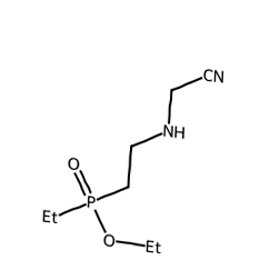 CCOP(=O)(CC)CCNCC#N